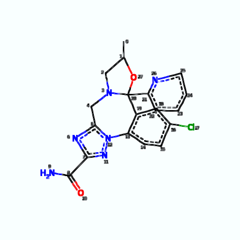 CC1CN2Cc3nc(C(N)=O)nn3-c3ccc(Cl)cc3C2(c2ccccn2)O1